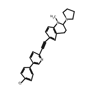 CN1c2ccc(C#Cc3ccc(-c4ccc(Cl)cc4)cn3)cc2CCC1N1CCCC1